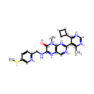 CCSc1ccc(CNc2nc3cnc(-c4c(C)ncnc4C4CCC4)nc3n(C(C)C)c2=O)nc1